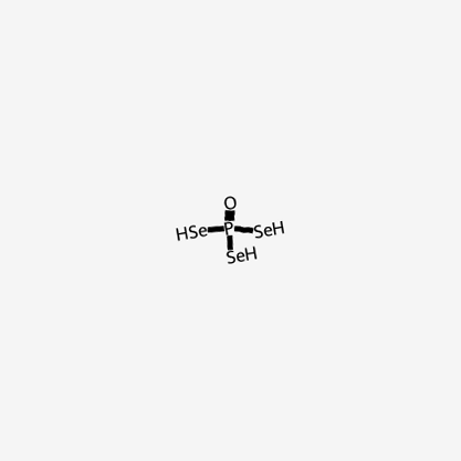 O=P([SeH])([SeH])[SeH]